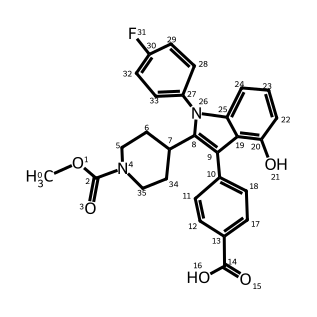 COC(=O)N1CCC(c2c(-c3ccc(C(=O)O)cc3)c3c(O)cccc3n2-c2ccc(F)cc2)CC1